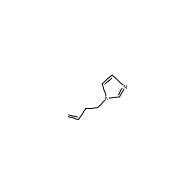 C=CCCn1[c]ncc1